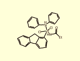 CCC(=O)[NH][Zr]([Cl])([Cl])([c]1cccc2c1Cc1ccccc1-2)[SiH](c1ccccc1)c1ccccc1